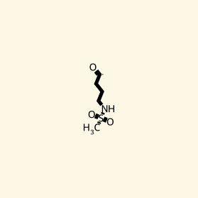 CS(=O)(=O)NCCC[C]=O